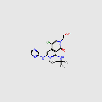 CC(C)(C)Nc1nc(Nc2cnccn2)cc2c(Cl)cn(CCO)c(=O)c12